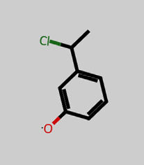 CC(Cl)c1cccc([O])c1